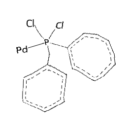 Cl[P](Cl)([Pd])(c1ccccc1)c1ccccc1